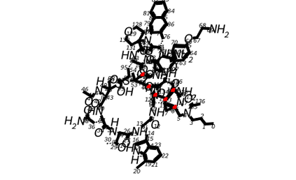 CCCCN(CCCC[C@@H]1NC(=O)[C@H](Cc2c[nH]c3c(C)cccc23)NC(=O)[C@H]([C@@H](C)O)NC(=O)[C@H](CC(N)=O)NC(=O)[C@@H](NC(C)=O)C(C)(C)SSC(C)(C)[C@@H](C(=O)N[C@@H](Cc2ccc(OCCN)cc2)C(=O)N[C@@H](Cc2ccc3ccccc3c2)C(=O)NC2(C(=O)N[C@@H](CCC(=O)O)C(=O)N[C@@H](CC(N)=O)C(=O)N[C@@H](Cc3cccnc3)C(=O)N(C)CC(N)=O)CCOCC2)NC1=O)C(C)=O